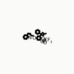 CC1CC(c2ccccc2)(c2cc(OCc3ccc4ccccc4n3)ccc2OS(=O)(=O)C(F)(F)F)C1